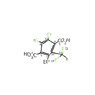 CCc1c(C(=O)O)c(F)c(F)c(C(=O)O)c1C(C)(F)F